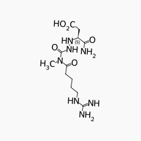 CN(C(=O)CCCCNC(=N)N)C(=O)NN[C@@H](CC(=O)O)C(N)=O